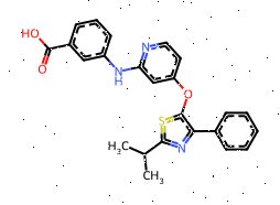 CC(C)c1nc(-c2ccccc2)c(Oc2ccnc(Nc3cccc(C(=O)O)c3)c2)s1